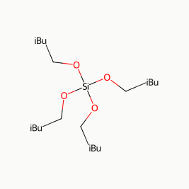 CCC(C)CO[Si](OCC(C)CC)(OCC(C)CC)OCC(C)CC